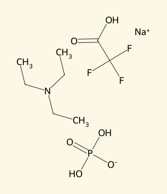 CCN(CC)CC.O=C(O)C(F)(F)F.O=P([O-])(O)O.[Na+]